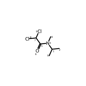 CC(C)N(C)C(=O)C(Cl)Cl